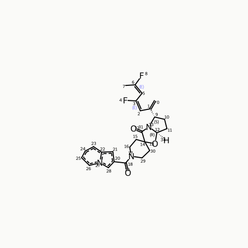 C=C(/C=C(F)\C=C(/C)F)[C@@H]1CC[C@H]2OC3(CCN(C(=O)c4cc5ccccn5c4)CC3)C(=O)N21